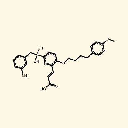 COc1ccc(CCCCOc2ccc(S(O)(O)Cc3cccc(N)c3)nc2C=CC(=O)O)cc1